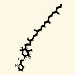 C/C=C/C(C)=C/C=C/C(C)=C/C=C/C=C(C)/C=C/C=C(C)/C=C/C1=C(C)C(=O)C(OC(=O)C2CCCN2)CC1(C)C